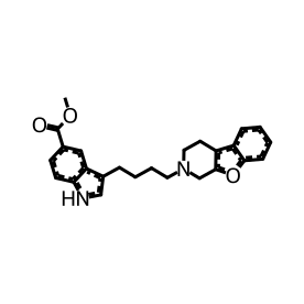 COC(=O)c1ccc2[nH]cc(CCCCN3CCc4c(oc5ccccc45)C3)c2c1